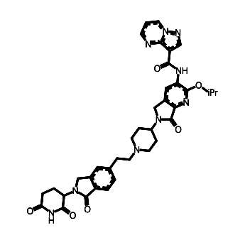 CC(C)Oc1nc2c(cc1NC(=O)c1cnn3cccnc13)CN(C1CCN(CCc3ccc4c(c3)CN(C3CCC(=O)NC3=O)C4=O)CC1)C2=O